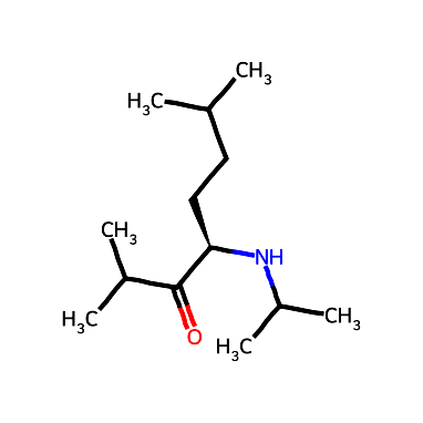 CC(C)CC[C@@H](NC(C)C)C(=O)C(C)C